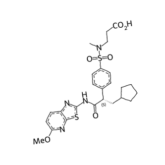 COc1ccc2nc(NC(=O)[C@@H](CC3CCCC3)c3ccc(S(=O)(=O)N(C)CCC(=O)O)cc3)sc2n1